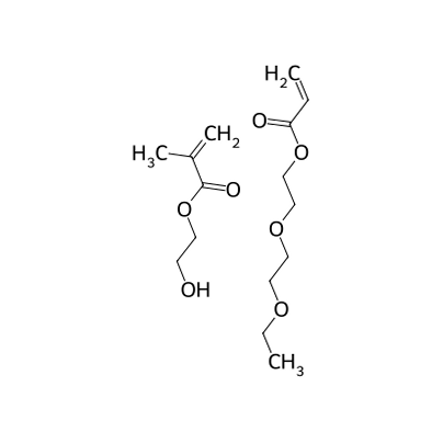 C=C(C)C(=O)OCCO.C=CC(=O)OCCOCCOCC